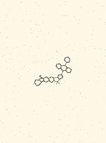 CC1(C)c2ccc(-c3c4ccccc4c(-c4ccccc4)c4ccccc34)cc2-c2cc3cc4sc5ccccc5c4cc3cc21